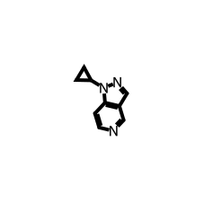 c1cc2c(cn1)cnn2C1CC1